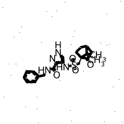 CC1(C)C2CC[C@@]1(CS(=O)(=O)Nc1c[nH]nc1C(=O)NCc1ccccc1)C(=O)C2